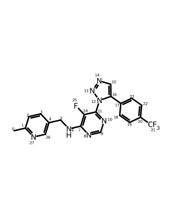 Cc1ccc(CNc2ncnc(-n3nncc3-c3ccc(C(F)(F)F)cc3)c2F)cn1